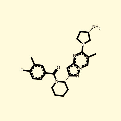 Cc1cc(C(=O)N2CCCC[C@H]2c2cc3nc(N4CC[C@H](N)C4)c(C)cn3n2)ccc1F